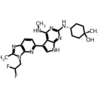 CNc1nc(N[C@H]2CC[C@@](C)(O)CC2)nc2[nH]cc(-c3ccc4nc(C)n(CC(F)F)c4n3)c12